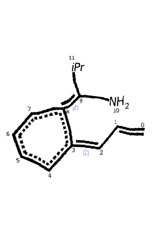 C=C/C=c1/cccc/c1=C(/N)C(C)C